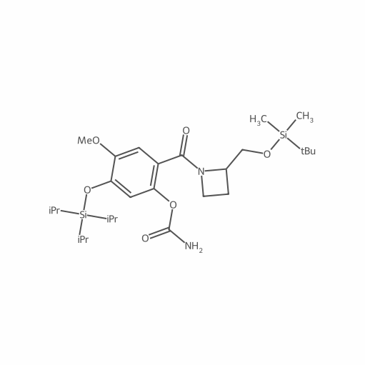 COc1cc(C(=O)N2CCC2CO[Si](C)(C)C(C)(C)C)c(OC(N)=O)cc1O[Si](C(C)C)(C(C)C)C(C)C